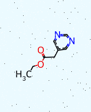 CCOC(=O)Cc1cncnc1